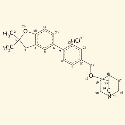 CC1(C)Cc2cc(-c3ccc(COC4CN5CCC4CC5)cc3)ccc2O1.Cl